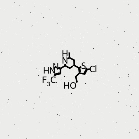 CC1CC(c2sc(Cl)cc2CCO)CC(c2cc(C(F)(F)F)[nH]n2)N1